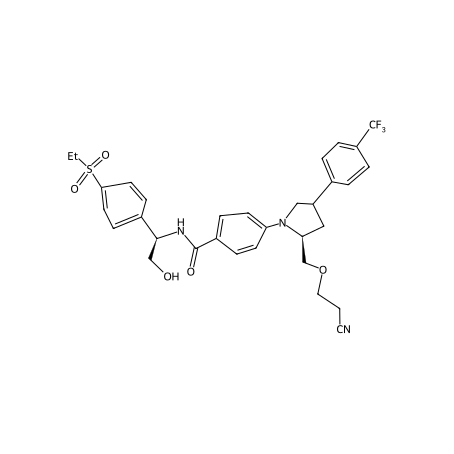 CCS(=O)(=O)c1ccc([C@H](CO)NC(=O)c2ccc(N3CC(c4ccc(C(F)(F)F)cc4)C[C@H]3COCCC#N)cc2)cc1